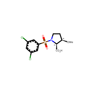 CO[C@@H]1CCN(S(=O)(=O)c2cc(Cl)cc(Cl)c2)[C@@H]1C(=O)O